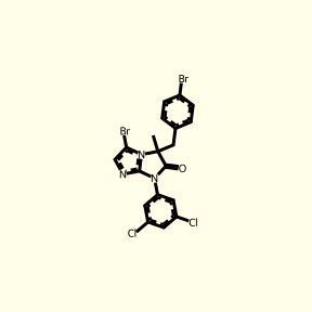 CC1(Cc2ccc(Br)cc2)C(=O)N(c2cc(Cl)cc(Cl)c2)c2ncc(Br)n21